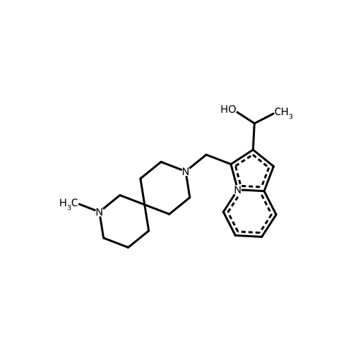 CC(O)c1cc2ccccn2c1CN1CCC2(CCCN(C)C2)CC1